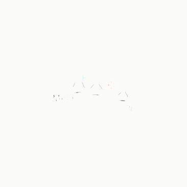 COc1ccc(F)c(-c2ccc([C@@H]3Cc4cc(Br)ccc4CO3)cc2)c1